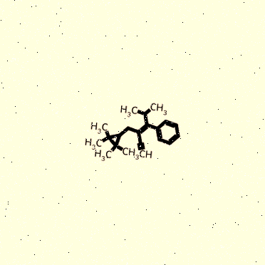 C#CC(CC1C(C)(C)C1(C)C)=C(c1ccccc1)C(C)C